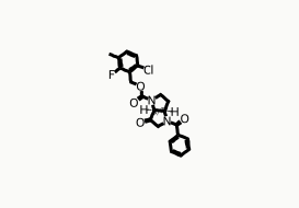 Cc1ccc(Cl)c(COC(=O)N2CC[C@@H]3[C@H]2C(=O)CN3C(=O)c2ccccc2)c1F